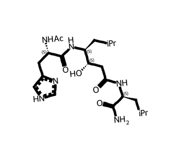 CC(=O)N[C@@H](Cc1c[nH]cn1)C(=O)N[C@@H](CC(C)C)[C@@H](O)CC(=O)N[C@@H](CC(C)C)C(N)=O